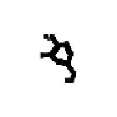 Nc1ccc(SO)cc1I